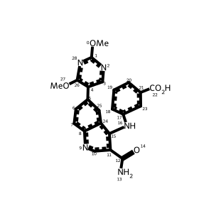 COc1ncc(-c2ccc3ncc(C(N)=O)c(Nc4cccc(C(=O)O)c4)c3c2)c(OC)n1